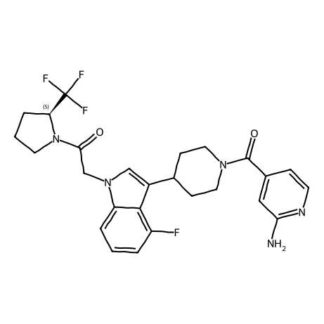 Nc1cc(C(=O)N2CCC(c3cn(CC(=O)N4CCC[C@H]4C(F)(F)F)c4cccc(F)c34)CC2)ccn1